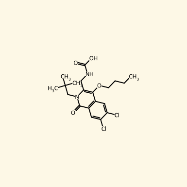 CCCCOc1c(CNC(=O)O)n(CC(C)(C)C)c(=O)c2cc(Cl)c(Cl)cc12